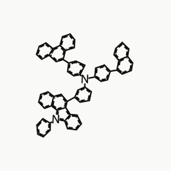 c1ccc(-n2c3ccccc3c3c(-c4cccc(N(c5ccc(-c6cccc7ccccc67)cc5)c5ccc(-c6cc7ccccc7c7ccccc67)cc5)c4)cc4ccccc4c32)cc1